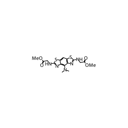 COC(=O)CNc1nc2c(N(C)C)c3nc(NCC(=O)OC)sc3cc2s1